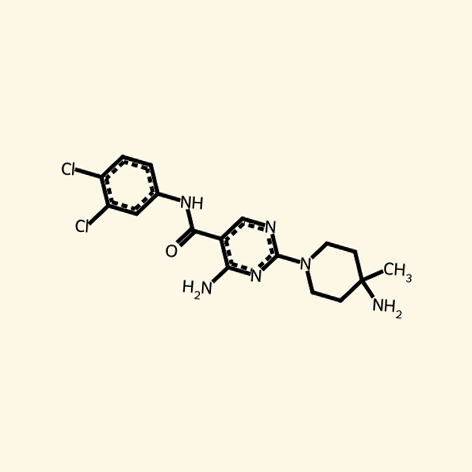 CC1(N)CCN(c2ncc(C(=O)Nc3ccc(Cl)c(Cl)c3)c(N)n2)CC1